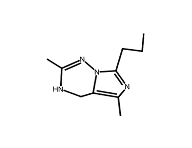 CCCc1nc(C)c2n1N=C(C)NC2